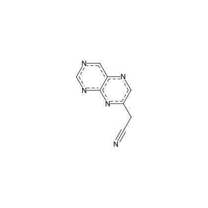 N#CCc1cnc2cncnc2n1